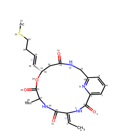 C/C=C1\NC(=O)c2cccc(n2)CNC(=O)C[C@@H](/C=C/CCSC(C)=O)OC(=O)C(C(C)(C)C)NC1=O